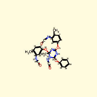 Cc1ccc(OC2=NC(C)(Oc3ccc(C)c(N=C=O)c3)N(N=C=O)C(Oc3ccccc3)=N2)cc1N=C=O